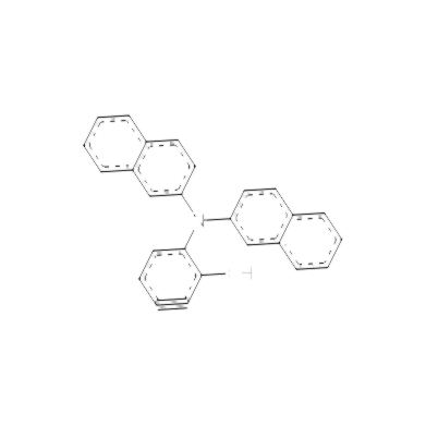 Cc1c#cccc1N(c1ccc2ccccc2c1)c1ccc2ccccc2c1